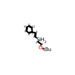 CC(C)(C)OCC[SiH2]C=Cc1ccccc1